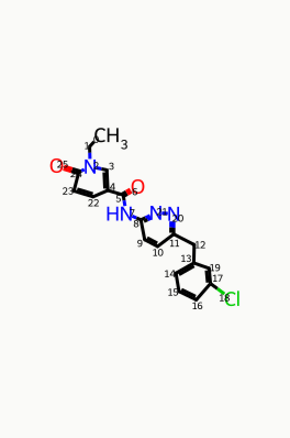 CCn1cc(C(=O)Nc2ccc(Cc3cccc(Cl)c3)nn2)ccc1=O